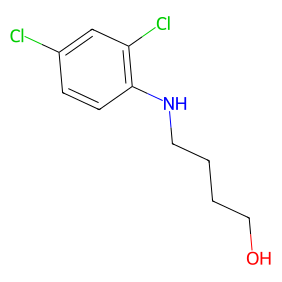 OCCCCNc1ccc(Cl)cc1Cl